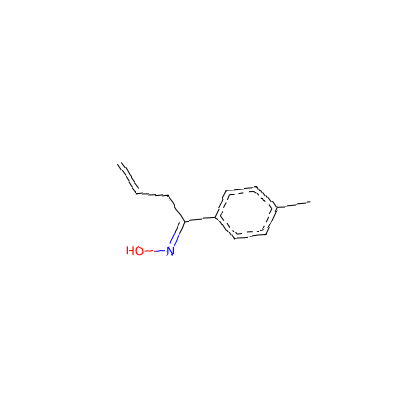 C=CCC(=NO)c1ccc(C)cc1